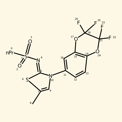 CCCS(=O)(=O)N=c1sc(C)cn1-c1ccc2c(c1)OC(F)(F)C(F)(F)O2